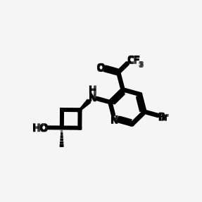 C[C@]1(O)C[C@@H](Nc2ncc(Br)cc2C(=O)C(F)(F)F)C1